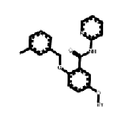 Cc1cccc(COc2ccc(OC(C)C)cc2C(=O)Nc2ccccn2)c1